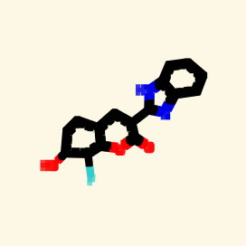 O=c1oc2c(F)c(O)ccc2cc1-c1nc2ccccc2[nH]1